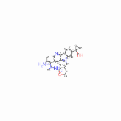 C/C(N)=C(\c1cnc2c3ccc(C4(O)CC4)cc3n(CC3CCOCC3)c2c1)N(C)N